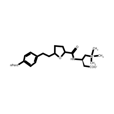 CCCCCc1ccc(CCC2CCC(C(=O)N[C@H](CC(=O)[O-])C[N+](C)(C)C)O2)cc1